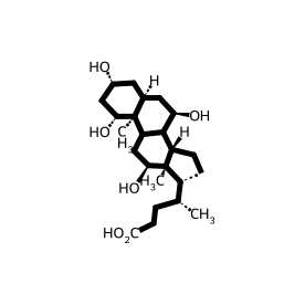 C[C@H](CCC(=O)O)[C@H]1CC[C@H]2C3C(C[C@H](O)[C@]12C)[C@]1(C)[C@@H](C[C@@H](O)C[C@H]1O)C[C@H]3O